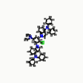 CC(C)N(c1cc(-n2ccc3c(N(c4ccccc4)c4ccccc4)cccc32)c(Cl)c(-n2ccc3c(N(c4ccccc4)c4ccccc4)cccc32)c1)C(C)C